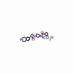 CN1CCc2ccc(N3CCN([C@H]4CC[C@H](N(CC(=O)O)C(=O)C5CCCC5)CC4)C3=O)cc2CC1